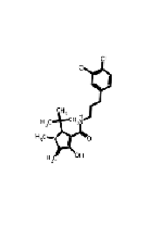 C=C1C(O)=C(C(=O)NCCCc2ccc(Cl)c(Cl)c2)C(C(C)(C)C)N1C